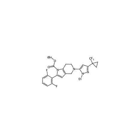 CCn1nc(C2(C(F)(F)F)CC2)cc1N1CCc2c(cc(-c3c(F)cccc3F)n2C(=O)OC(C)(C)C)C1